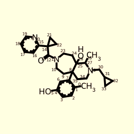 Cc1ccc(O)cc1C12CCN(C(=O)C3(c4ccccn4)CC3)CCC1(O)C(C)N(CC1CC1)CC2